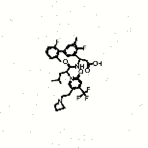 Cc1cc(-c2c(C)cccc2F)cc(C(CC(=O)O)NC(=O)C(CC(C)C)n2cc(CCN3CCC3)c(C(F)(F)F)cc2=O)c1F